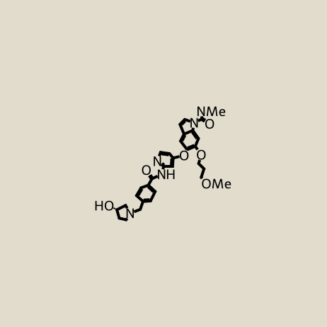 CNC(=O)n1ccc2cc(Oc3ccnc(NC(=O)c4ccc(CN5CC[C@H](O)C5)cc4)c3)c(OCCCOC)cc21